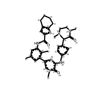 Cc1cc(NC(=O)c2cc3c(s2)CCCC3)c(C)c(-c2cn(C)c(=O)c(Nc3ccc(C4C(=O)N(C)CCN4C)cc3)n2)c1